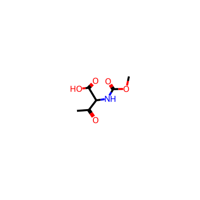 COC(=O)NC(C(C)=O)C(=O)O